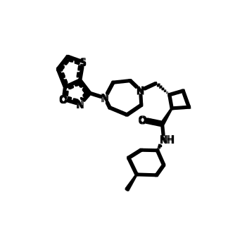 C[C@H]1CC[C@H](NC(=O)[C@@H]2CC[C@H]2CN2CCCN(c3noc4ccsc34)CC2)CC1